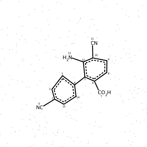 N#Cc1ccc(-c2c(C(=O)O)ccc(C#N)c2N)cc1